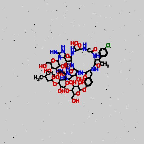 CC(C)CC(=O)OC1C(O)C(CO)OC(OC2C(CO)OC(Oc3ccc(CC4NC(=O)C(C(C)c5ccc(Cl)cc5)NC(=O)CNC(=O)C(CO)NC(=O)C(C(O)C5CNC(=N)N5C5OC(CO)C(O)C(O)C5O)NC(=O)C(C(O)C5CNC(=N)N5)NC4=O)cc3)C(O)C2O)C1O